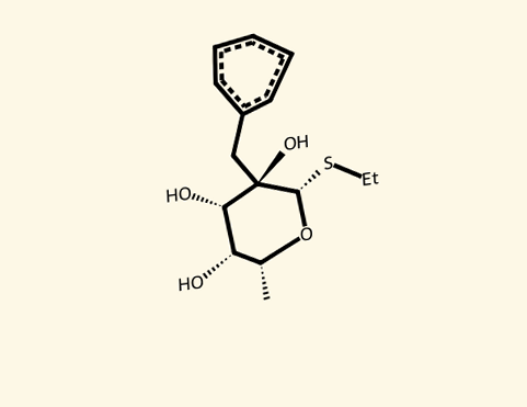 CCS[C@@H]1O[C@H](C)[C@H](O)[C@H](O)[C@]1(O)Cc1ccccc1